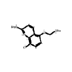 COc1ccc2c(OCSC)ccc(Cl)c2n1